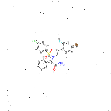 NC(=O)[C@@H](c1ccccc1)N(CCc1ccc(Br)cc1F)S(=O)(=O)c1ccc(Cl)cc1